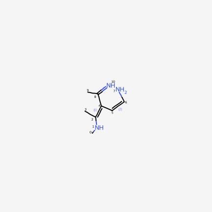 CN/C(C)=C(\C=C/N)C(C)=N